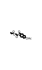 C=CC(=O)OCC(=O)N1C(=O)C2CC3CC(OC(C)=O)CC3CC21